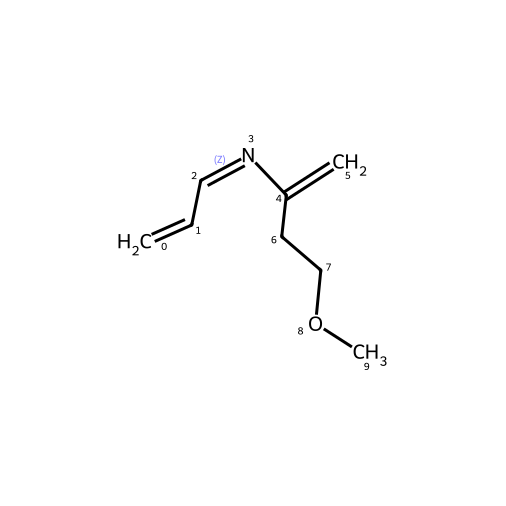 C=C/C=N\C(=C)CCOC